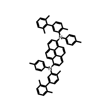 Cc1ccc(N(c2cc(-c3c(C)cccc3C)ccc2C)c2ccc3ccc4c(N(c5ccc(C)cc5)c5cc(-c6c(C)cccc6C)ccc5C)ccc5ccc2c3c54)cc1